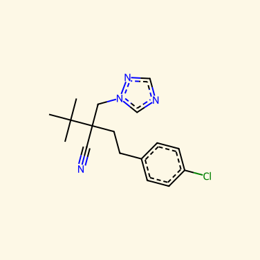 CC(C)(C)C(C#N)(CCc1ccc(Cl)cc1)Cn1cncn1